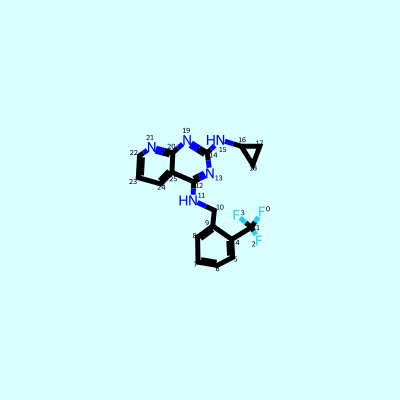 FC(F)(F)c1ccccc1CNc1nc(NC2CC2)nc2ncccc12